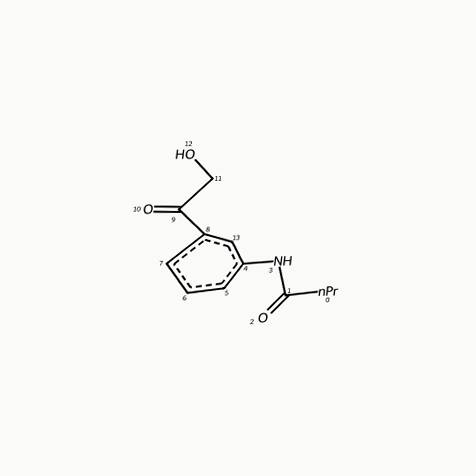 CCCC(=O)Nc1cccc(C(=O)CO)c1